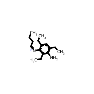 CCC/C=N\c1c(CC)cc(CC)c(N)c1CC